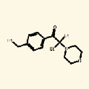 CCC(CC)(C(=O)c1ccc(CS)cc1)N1CCOCC1